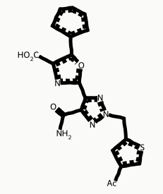 CC(=O)c1csc(Cn2nc(C(N)=O)c(-c3nc(C(=O)O)c(-c4ccccc4)o3)n2)c1